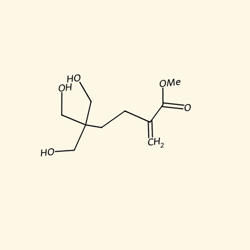 C=C(CCC(CO)(CO)CO)C(=O)OC